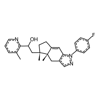 Cc1cccnc1C(O)C[C@]1(C)CCC2=Cc3c(cnn3-c3ccc(F)cc3)C[C@@]21C